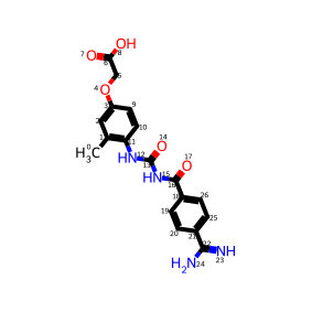 Cc1cc(OCC(=O)O)ccc1NC(=O)NC(=O)c1ccc(C(=N)N)cc1